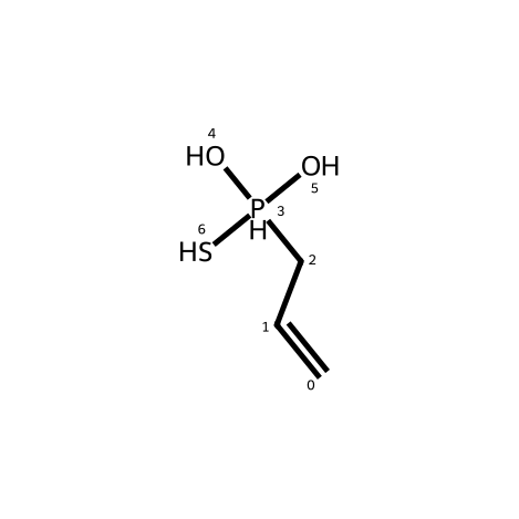 C=CC[PH](O)(O)S